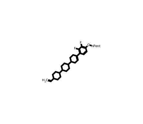 C=CC1CCC(C2CCC(C3CC=C(c4ccc(OCCCCC)c(F)c4F)CC3)CC2)CC1